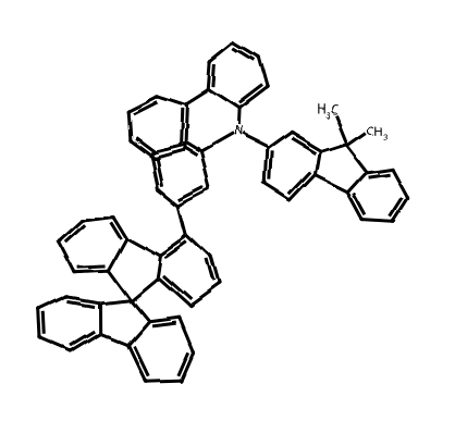 CC1(C)c2ccccc2-c2ccc(N(c3cccc(-c4cccc5c4-c4ccccc4C54c5ccccc5-c5ccccc54)c3)c3ccccc3-c3ccccc3)cc21